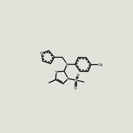 CC1=CN(S(C)(=O)=O)C(N(Cc2ccoc2)c2ccc(C#N)cc2)S1